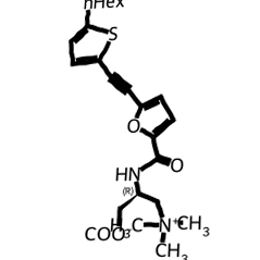 CCCCCCc1ccc(C#Cc2ccc(C(=O)N[C@H](CC(=O)[O-])C[N+](C)(C)C)o2)s1